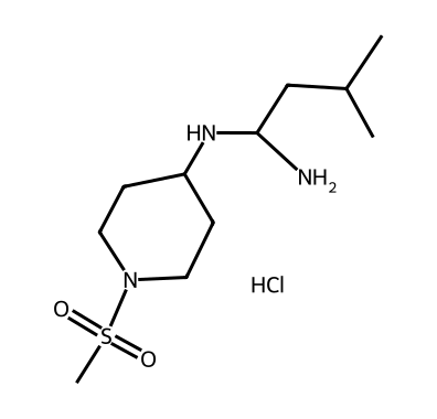 CC(C)CC(N)NC1CCN(S(C)(=O)=O)CC1.Cl